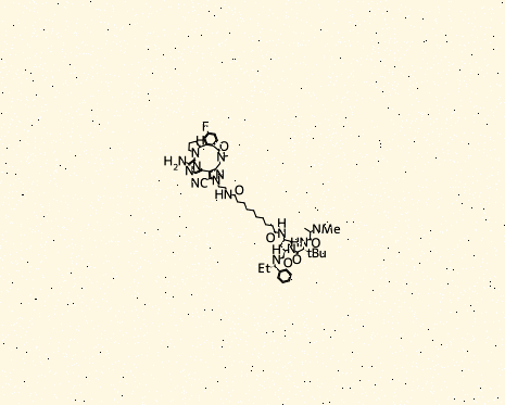 CC[C@H](NC(=O)[C@H]1C[C@@H](NC(=O)CCCCCCCCC(=O)NCCn2nc3c(c2C#N)-c2cnc(N)c(n2)N2CCC[C@@H]2c2cc(F)ccc2C(=O)N(C)C3)CN1C(=O)[C@H](NC(=O)[C@@H](C)NC)C(C)(C)C)c1ccccc1